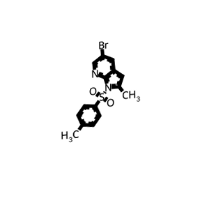 Cc1ccc(S(=O)(=O)n2c(C)cc3cc(Br)cnc32)cc1